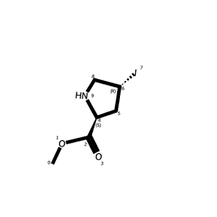 COC(=O)[C@@H]1C[C@@H](I)CN1